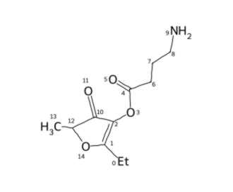 CCC1=C(OC(=O)CCCN)C(=O)C(C)O1